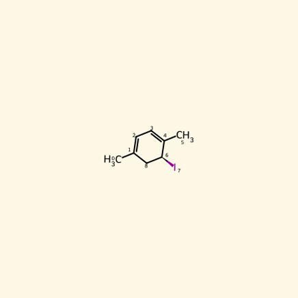 CC1=CC=C(C)[C@@H](I)C1